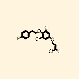 Fc1ccc(CCOc2c(Cl)cc(OCC=C(Cl)Cl)cc2Cl)cc1